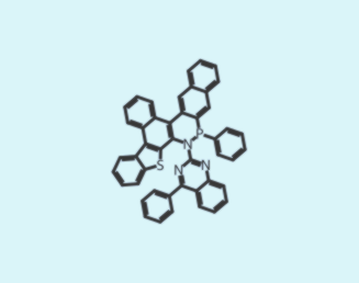 c1ccc(-c2nc(N3c4c(c5ccccc5c5c4sc4ccccc45)-c4cc5ccccc5cc4P3c3ccccc3)nc3ccccc23)cc1